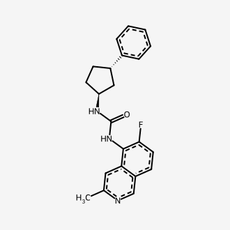 Cc1cc2c(NC(=O)N[C@H]3CC[C@H](c4ccccc4)C3)c(F)ccc2cn1